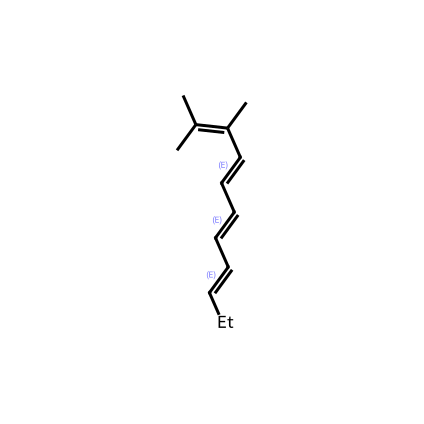 CC/C=C/C=C/C=C/C(C)=C(C)C